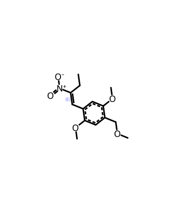 CC/C(=C\c1cc(OC)c(COC)cc1OC)[N+](=O)[O-]